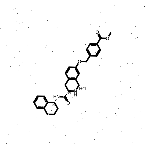 COC(=O)c1ccc(COc2ccc3c(c2)CN[C@H](C(=O)N[C@@H]2CCCc4ccccc42)C3)cc1.Cl